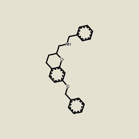 c1ccc(CNCC2CCc3ccc(OCc4ccccc4)cc3O2)cc1